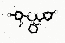 COc1cc(Cl)ccc1C(=O)CN1C(=O)C(c2ccc(Cl)cc2)=NC12CCCCC2